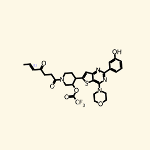 C/C=C/C(=O)CCC(=O)N1CCC(c2cc3nc(-c4cccc(O)c4)nc(N4CCOCC4)c3s2)C(OC(=O)C(F)(F)F)C1